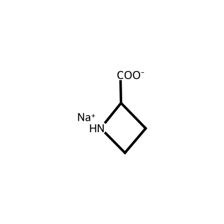 O=C([O-])C1CCN1.[Na+]